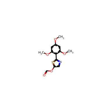 COc1cc(OC)c(-c2ncc(OC=O)s2)c(OC)c1